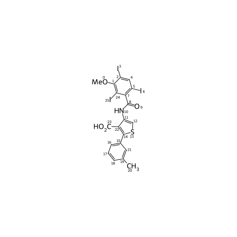 COc1c(I)cc(I)c(C(=O)Nc2csc(-c3cccc(C)c3)c2C(=O)O)c1I